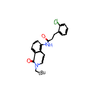 CC(C)(C)Cn1ccc2c(NC(=O)CCc3ccccc3Cl)cccc2c1=O